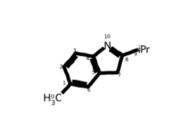 Cc1ccc2c(c1)CC(C(C)C)=N2